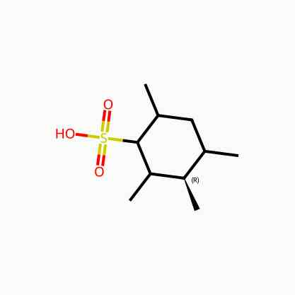 CC1CC(C)[C@@H](C)C(C)C1S(=O)(=O)O